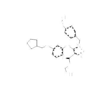 CCOC(=O)c1nnn(Cc2ccc(OC)cc2)c1Oc1cccc(OCC2CCCC2)c1